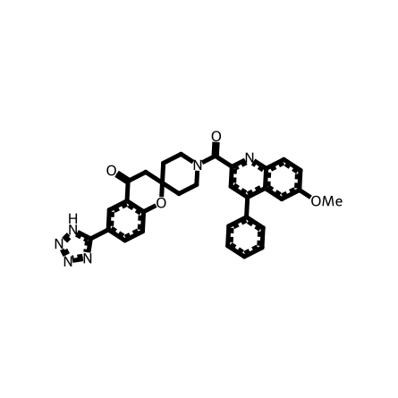 COc1ccc2nc(C(=O)N3CCC4(CC3)CC(=O)c3cc(-c5nnn[nH]5)ccc3O4)cc(-c3ccccc3)c2c1